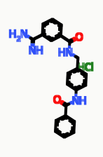 Cl.N=C(N)c1cccc(C(=O)NCc2ccc(NC(=O)c3ccccc3)cc2)c1